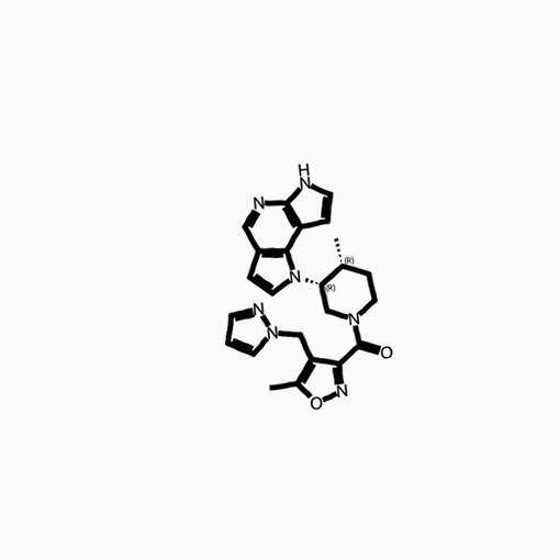 Cc1onc(C(=O)N2CC[C@@H](C)[C@@H](n3ccc4cnc5[nH]ccc5c43)C2)c1Cn1cccn1